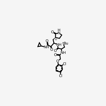 CC(C)(C)CC(NC(=O)COc1ccc(Cl)cc1Cl)C(=O)NC(C[C@@H]1CCNC1=O)C(=O)C(=O)NC1CC1